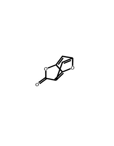 O=C1Oc2cc3cc1c2o3